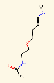 CNCCCCOCCNC(C)=O